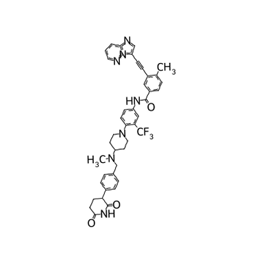 Cc1ccc(C(=O)Nc2ccc(N3CCC(N(C)Cc4ccc(C5CCC(=O)NC5=O)cc4)CC3)c(C(F)(F)F)c2)cc1C#Cc1cnc2cccnn12